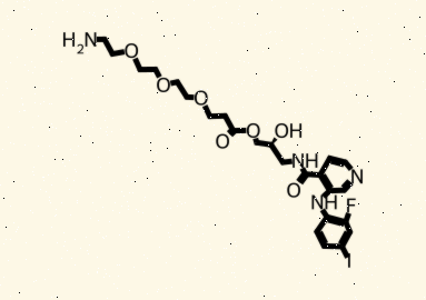 NCCOCCOCCOCCC(=O)OC[C@@H](O)CNC(=O)c1ccncc1Nc1ccc(I)cc1F